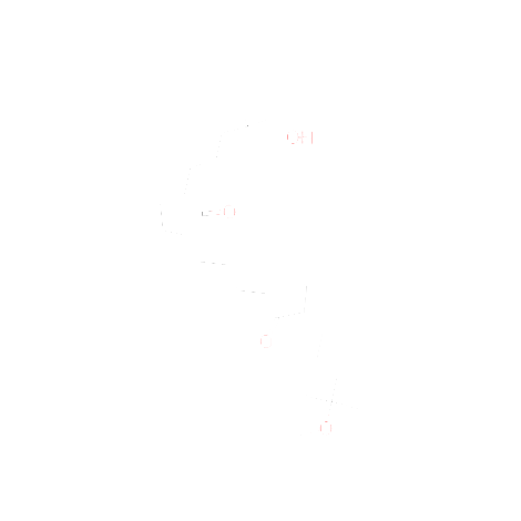 COC(C)(C)CCCC1CCC(CCCC2CCC(CCCC(C)(C)CO)C2=O)C1=O